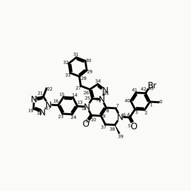 Cc1cc(C(=O)N2Cc3c(c(=O)n(-c4ccc(-n5ncnc5C)cc4)c4c(Cc5ccccc5)cnn34)C[C@@H]2C)ccc1Br